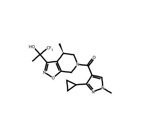 C[C@H]1CN(C(=O)c2cn(C)nc2C2CC2)Cc2onc(C(C)(O)C(F)(F)F)c21